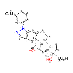 C[C@]12Cc3cnn(-c4cccc([N+](=O)[O-])c4)c3C=C1CCC1C2[C@@H](O)C[C@@]2(C)C1CC[C@]2(O)C(=O)O